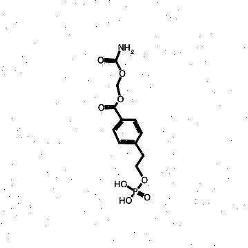 NC(=O)OCOC(=O)c1ccc(CCOP(=O)(O)O)cc1